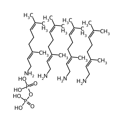 CC(C)=CCC/C(C)=C/CN.CC(C)=CCC/C(C)=C/CN.CC(C)=CCC/C(C)=C/CN.CC(C)=CCC/C(C)=C/CN.O=P(O)(O)OP(=O)(O)O